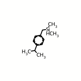 CC(C)c1ccc(C[SiH](C)C)cc1